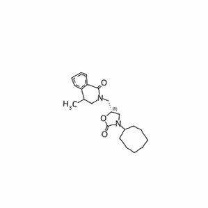 CC1CN(C[C@@H]2CN(C3CCCCCCC3)C(=O)O2)C(=O)c2ccccc21